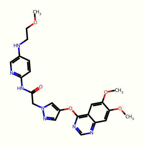 COCCNc1ccc(NC(=O)Cn2cc(Oc3ncnc4cc(OC)c(OC)cc34)cn2)nc1